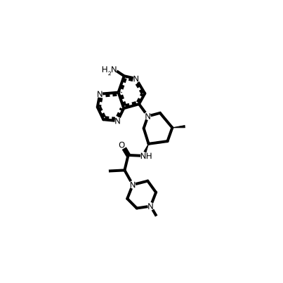 CC(C(=O)N[C@@H]1C[C@H](C)CN(c2cnc(N)c3nccnc23)C1)N1CCN(C)CC1